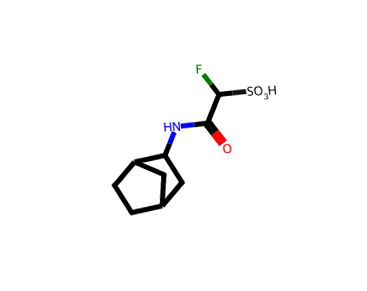 O=C(NC1CC2CCC1C2)C(F)S(=O)(=O)O